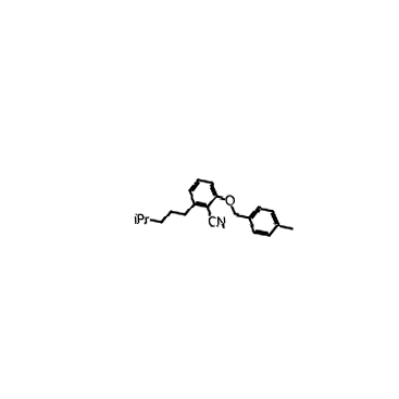 Cc1ccc(COc2cccc(CCCC(C)C)c2C#N)cc1